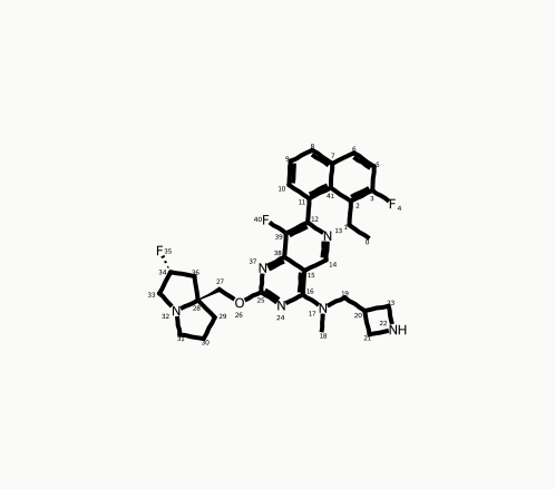 CCc1c(F)ccc2cccc(-c3ncc4c(N(C)CC5CNC5)nc(OC[C@@]56CCCN5C[C@H](F)C6)nc4c3F)c12